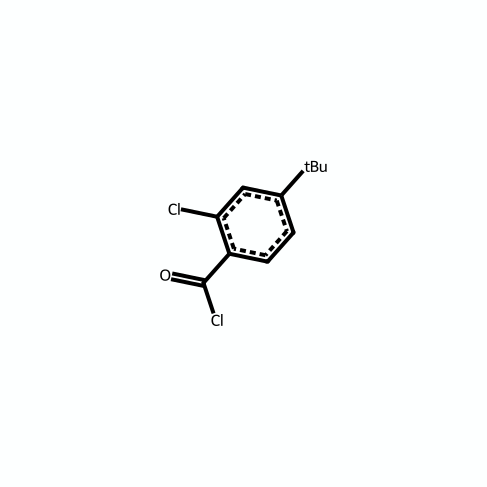 CC(C)(C)c1ccc(C(=O)Cl)c(Cl)c1